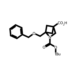 CC(C)(C)OC(=O)N1CC2(C(=O)O)CC1(COCc1ccccc1)C2